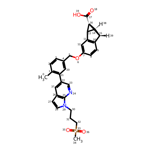 Cc1ccc(COc2ccc3c(c2)C2[C@@H]4[C@H]3[C@@]24C(=O)O)cc1-c1cnc2c(ccn2CCCS(C)(=O)=O)c1